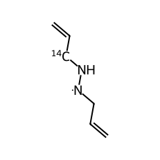 C=CC[N]N[14CH2]C=C